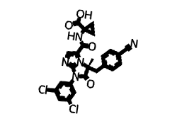 C[C@@]1(Cc2ccc(C#N)cc2)C(=O)N(c2cc(Cl)cc(Cl)c2)c2ncc(C(=O)NC3(C(=O)O)CC3)n21